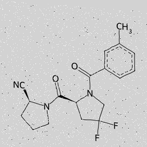 Cc1cccc(C(=O)N2CC(F)(F)C[C@H]2C(=O)N2CCC[C@H]2C#N)c1